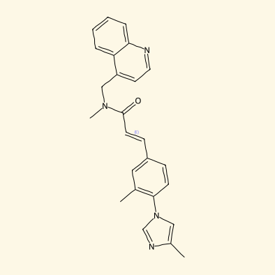 Cc1cn(-c2ccc(/C=C/C(=O)N(C)Cc3ccnc4ccccc34)cc2C)cn1